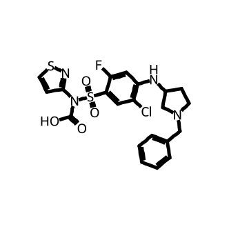 O=C(O)N(c1ccsn1)S(=O)(=O)c1cc(Cl)c(NC2CCN(Cc3ccccc3)C2)cc1F